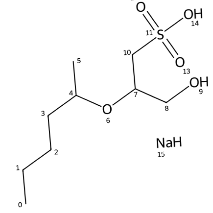 CCCCC(C)OC(CO)CS(=O)(=O)O.[NaH]